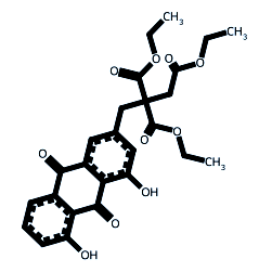 CCOC(=O)CC(Cc1cc(O)c2c(c1)C(=O)c1cccc(O)c1C2=O)(C(=O)OCC)C(=O)OCC